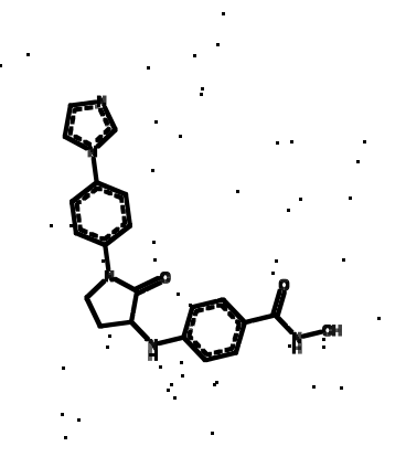 O=C(NO)c1ccc(NC2CCN(c3ccc(-n4ccnc4)cc3)C2=O)cc1